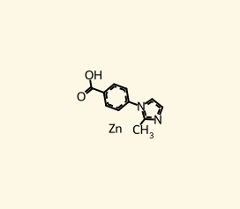 Cc1nccn1-c1ccc(C(=O)O)cc1.[Zn]